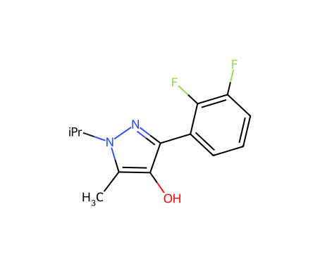 Cc1c(O)c(-c2cccc(F)c2F)nn1C(C)C